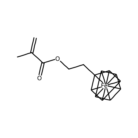 C=C(C)C(=O)OCC[C]12[CH]3[CH]4[CH]5[CH]1[Fe]45321678[CH]2[CH]1[CH]6[CH]7[CH]28